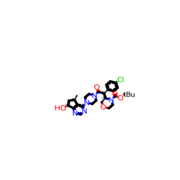 C[C@@H]1C[C@H](O)c2ncnc(N3CCN(C(=O)[C@@H](c4ccc(Cl)cc4)[C@@H]4COCCN4C(=O)OC(C)(C)C)CC3)c21